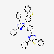 c1ccc(-c2nc(-c3ccccc3)nc(-c3cc(-c4nc(-c5ccccc5)c5sc6ccccc6c5n4)ccc3-c3ccc4c(c3)sc3ccccc34)n2)cc1